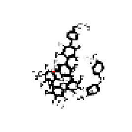 C=Cc1ccc(-c2c(F)c(F)c(-c3c(F)c(F)c([B-](c4c(F)c(F)c(C(F)(F)F)c(F)c4F)(c4c(F)c(F)c(C(F)(F)F)c(F)c4F)c4c(F)c(F)c(C(F)(F)F)c(F)c4F)c(F)c3F)c(F)c2F)cc1.Cc1ccc([I+]c2ccc(C(C)C)cc2)cc1